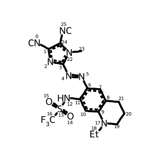 [C-]#[N+]c1nc(/N=N/c2cc3c(cc2NS(=O)(=O)C(F)(F)F)N(CC)CCC3)n(C)c1[N+]#[C-]